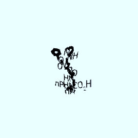 CCCC(CCC)C(=O)NC(CNC(=O)COC1CC(CNc2ccccn2)N(C(=O)OCc2ccccc2)C1)C(=O)O